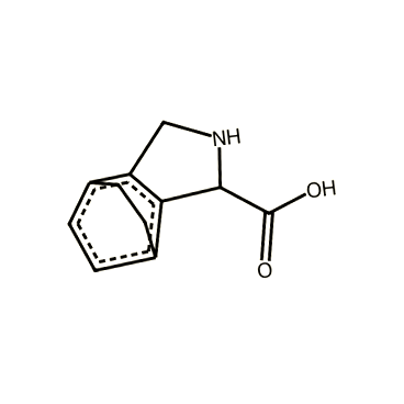 O=C(O)C1NCc2c3ccc(c21)CC3